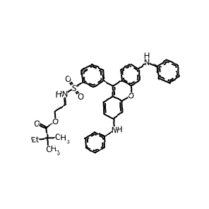 CCC(C)(C)C(=O)OCCNS(=O)(=O)c1cccc(C2=C3C=CC(Nc4ccccc4)C=C3Oc3cc(Nc4ccccc4)ccc32)c1